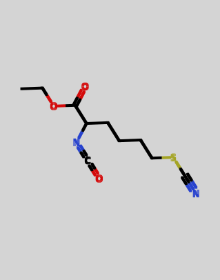 CCOC(=O)C(CCCCSC#N)N=C=O